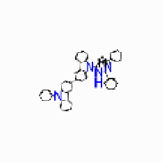 c1ccc(C2=N[C@@]3(c4ccccc4)C[C@@H]3C(n3c4ccccc4c4cc(-c5ccc6c(c5)c5ccccc5n6-c5ccccc5)ccc43)N2)cc1